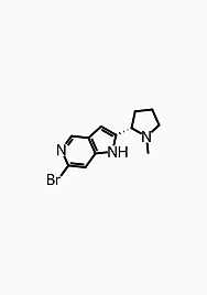 CN1CCC[C@H]1c1cc2cnc(Br)cc2[nH]1